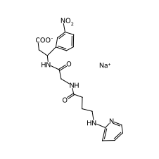 O=C([O-])CC(NC(=O)CNC(=O)CCCNc1ccccn1)c1cccc([N+](=O)[O-])c1.[Na+]